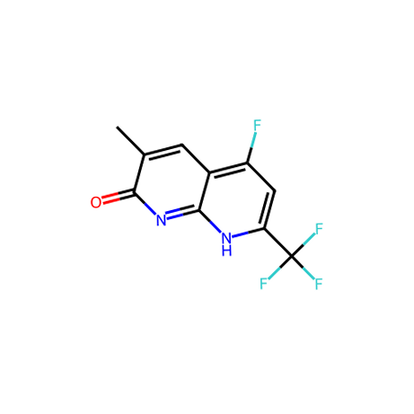 Cc1cc2c(F)cc(C(F)(F)F)[nH]c-2nc1=O